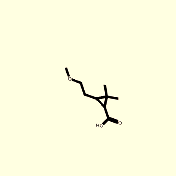 COCCC1C(C(=O)O)C1(C)C